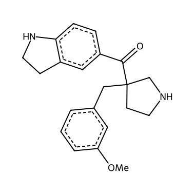 COc1cccc(CC2(C(=O)c3ccc4c(c3)CCN4)CCNC2)c1